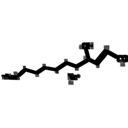 CCCCCCCCCCCCCCCC(O)C=CC(=O)[O-].[Na+]